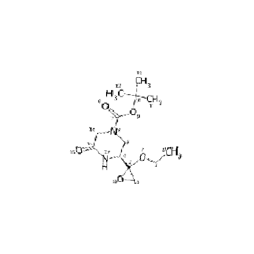 CCOC1([C@@H]2CN(C(=O)OC(C)(C)C)CC(=O)N2)CO1